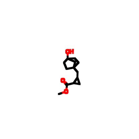 COC(=O)C1CC1CC12CCC(O)(CC1)C2